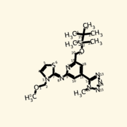 COCn1ccs/c1=N\c1cc(-c2nnnn2C)cc(CO[Si](C)(C)C(C)(C)C)n1